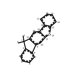 CC1(C)c2ccccc2-c2cc3sc4ccccc4c3cc21